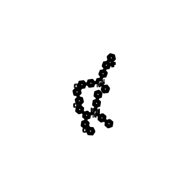 CC1(C)c2ccccc2-c2ccc(-c3ccc(-c4cc(-c5ccc(-c6ccc7oc8ccc(-c9ccc%10c(c9)oc9ccc(-c%11cc(-c%12ccc%13oc%14ccccc%14c%13c%12)cc(-c%12nc(-c%13ccc(-c%14ccccc%14)cc%13)nc(-c%13ccc(-c%14ccccc%14)cc%13)n%12)c%11)cc9%10)cc8c7c6)cc5)nc(-c5ccccc5)n4)cc3)cc21